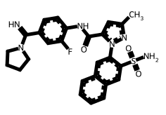 Cc1cc(C(=O)Nc2ccc(C(=N)N3CCCC3)cc2F)n(-c2cc3ccccc3cc2S(N)(=O)=O)n1